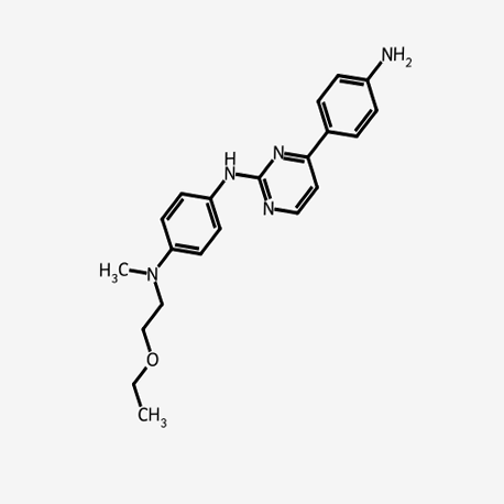 CCOCCN(C)c1ccc(Nc2nccc(-c3ccc(N)cc3)n2)cc1